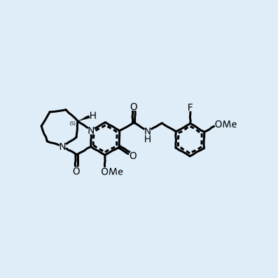 COc1cccc(CNC(=O)c2cn3c(c(OC)c2=O)C(=O)N2CCCC[C@H]3C2)c1F